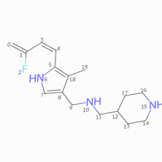 C=C(F)/C=C\c1[nH]cc(CNCC2CCNCC2)c1C